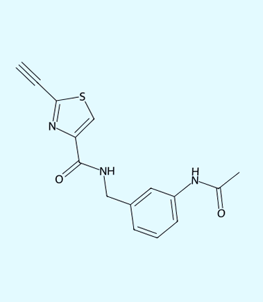 C#Cc1nc(C(=O)NCc2cccc(NC(C)=O)c2)cs1